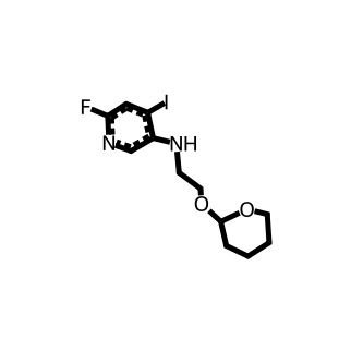 Fc1cc(I)c(NCCOC2CCCCO2)cn1